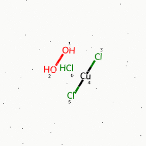 Cl.OO.[Cl][Cu][Cl]